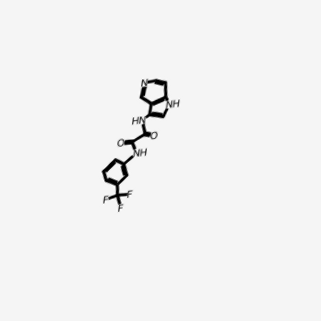 O=C(Nc1cccc(C(F)(F)F)c1)C(=O)Nc1c[nH]c2ccncc12